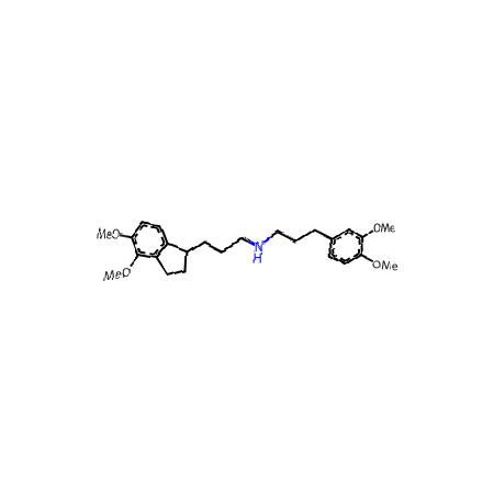 COc1ccc(CCCNCCCC2CCc3c2ccc(OC)c3OC)cc1OC